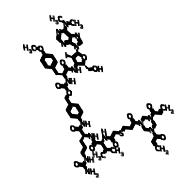 C=CC(=O)N1CN(C(=O)C=C)CN(C(=O)CCSCC(=O)N[C@H](C(=O)N[C@@H](CCCNC(N)=O)C(=O)Nc2ccc(COC(=O)N[C@@H](Cc3ccc(OC)cc3)C(=O)NC3[C@@H](I)[C@H](n4cnc5c(N(C)C)ncnc54)O[C@@H]3CO)cc2)C(C)C)C1